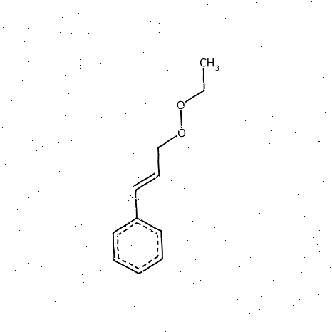 CCOOCC=Cc1ccccc1